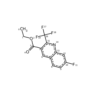 CCOC(=O)c1cc2ccc(F)cc2nc1C(F)(F)F